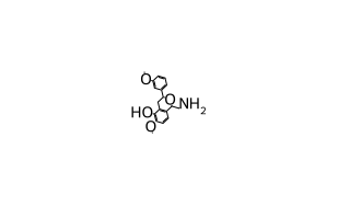 COc1cccc(C2Cc3c(ccc(OC)c3O)C(CN)O2)c1